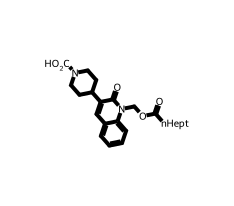 CCCCCCCC(=O)OCn1c(=O)c(C2CCN(C(=O)O)CC2)cc2ccccc21